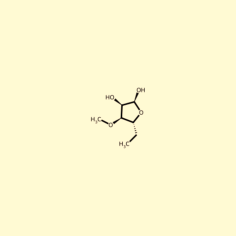 CC[C@H]1O[C@H](O)[C@H](O)[C@@H]1OC